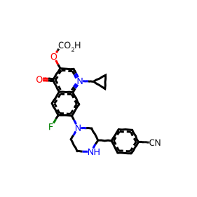 N#Cc1ccc(C2CN(c3cc4c(cc3F)c(=O)c(OC(=O)O)cn4C3CC3)CCN2)cc1